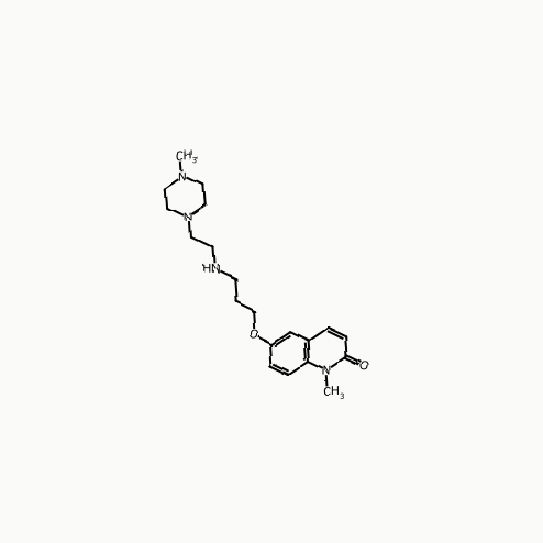 CN1CCN(CCNCCCOc2ccc3c(ccc(=O)n3C)c2)CC1